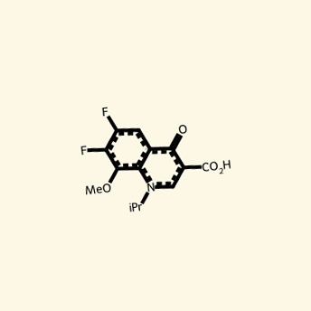 COc1c(F)c(F)cc2c(=O)c(C(=O)O)cn(C(C)C)c12